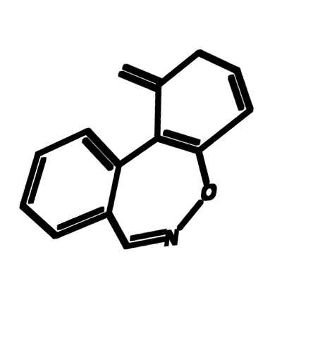 C=C1CC=CC2=C1c1ccccc1C=NO2